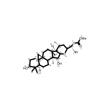 COC(=O)O[C@H](C(C)C)C1C[C@@H](C)[C@H]2C(O1)[C@H](O)[C@@]1(C)C3CC[C@H]4C(C)(C)[C@@H](O)CC[C@@]45C[C@@]35CC[C@]21C